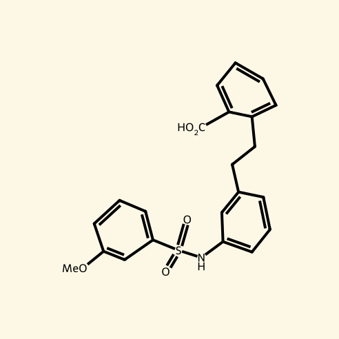 COc1cccc(S(=O)(=O)Nc2cccc(CCc3ccccc3C(=O)O)c2)c1